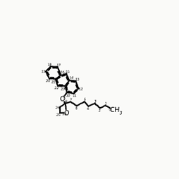 CCCCCCCCC1(Oc2cccc3cc4ccccc4cc23)CCO1